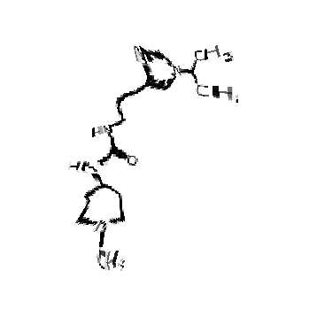 CC(C)n1cnc(CCNC(=O)NC2CCN(C)CC2)c1